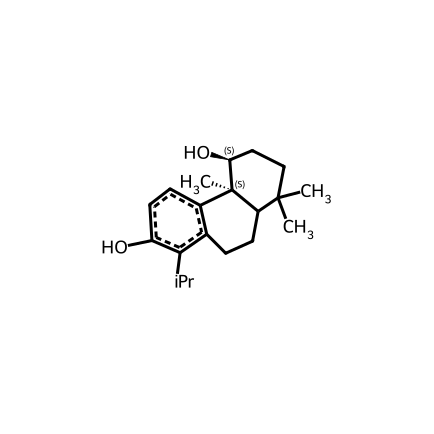 CC(C)c1c(O)ccc2c1CCC1C(C)(C)CC[C@H](O)[C@]21C